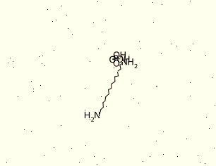 NCCCCCCCCCCCCCCCC(N)OP(=O)(O)O